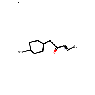 CC/C=C/C(=O)CC1CCC(CCCC)CC1